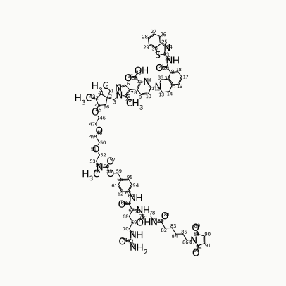 CCC1(Cn2ncc(-c3ccc(N4CCc5cccc(C(=O)Nc6nc7ccccc7s6)c5C4)nc3C(=O)O)c2C)CC(C)C(OCCOCCOCCN(C)C(=O)OCc2ccc(NC(=O)C(CCCNC(N)=O)NC(=O)CNC(=O)CCCCCN3C(=O)C=CC3=O)cc2)C1